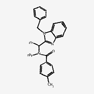 CCCN(C(=O)c1ccc(C)cc1)C(c1nc2ccccc2n1Cc1ccccc1)C(C)C